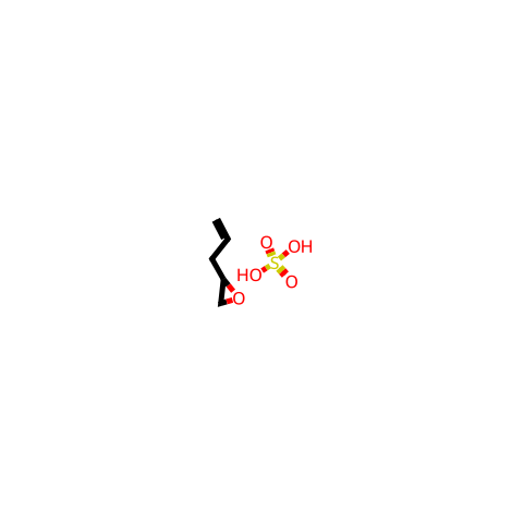 C=CCC1CO1.O=S(=O)(O)O